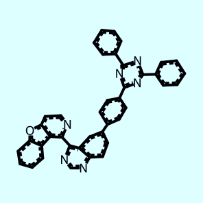 c1ccc(-c2nc(-c3ccccc3)nc(-c3ccc(-c4ccc5ncnc(-c6nccc7oc8ccccc8c67)c5c4)cc3)n2)cc1